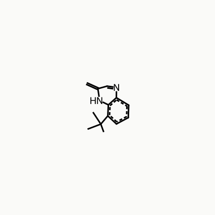 C=C1C=Nc2cccc(C(C)(C)C)c2N1